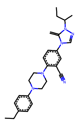 C=C1N(c2ccc(N3CCN(c4ccc(CC)cc4)CC3)c(C#N)c2)C=NN1C(C)CC